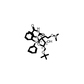 Cc1cn([C@]2([SiH](c3ccccc3)c3ccccc3)O[C@H](COC(C)(C)C)[C@@H](O)[C@]2(O)CCON(C)C)c(=O)[nH]c1=O